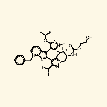 Cn1cc(-c2c3cccn(Cc4ccccc4)c-3nc2-c2c(C(F)F)nn3c2OC[C@@H](NC(=O)OCCO)C3)c(OC(F)F)n1